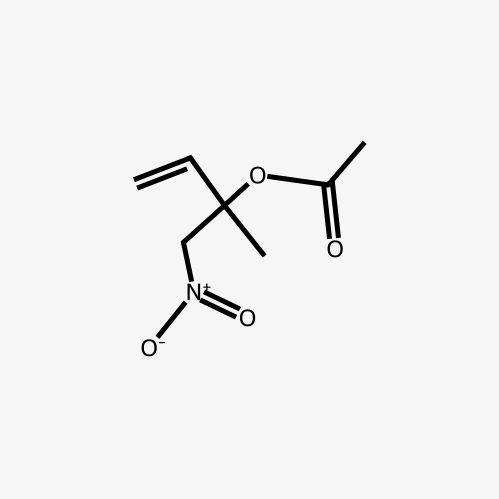 C=CC(C)(C[N+](=O)[O-])OC(C)=O